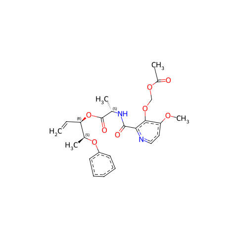 C=C[C@@H](OC(=O)[C@H](C)NC(=O)c1nccc(OC)c1OCOC(C)=O)[C@H](C)Oc1ccccc1